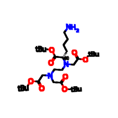 CC(C)(C)OC(=O)CN(CCN(CC(=O)OC(C)(C)C)[C@@H](CCCCN)C(=O)OC(C)(C)C)CC(=O)OC(C)(C)C